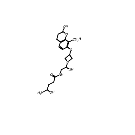 NC(O)CCC(=O)NCC(O)N1CC(Oc2ccc3c(c2C(=O)O)OB(O)CC3)C1